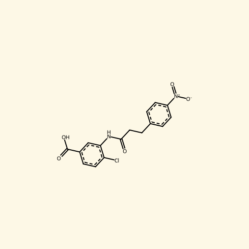 O=C(CCc1ccc([N+](=O)[O-])cc1)Nc1cc(C(=O)O)ccc1Cl